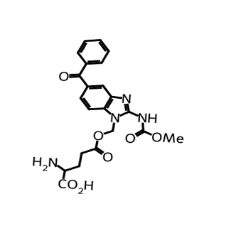 COC(=O)Nc1nc2cc(C(=O)c3ccccc3)ccc2n1COC(=O)CCC(N)C(=O)O